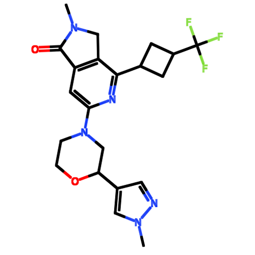 CN1Cc2c(cc(N3CCOC(c4cnn(C)c4)C3)nc2C2CC(C(F)(F)F)C2)C1=O